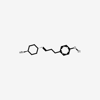 CCC[C@H]1CC[C@H](/C=C/CCc2ccc(OCC)cc2)CC1